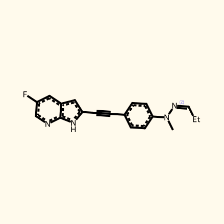 CC/C=N\N(C)c1ccc(C#Cc2cc3cc(F)cnc3[nH]2)cc1